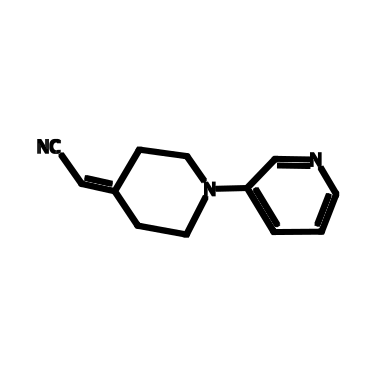 N#CC=C1CCN(c2cccnc2)CC1